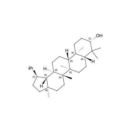 CC(C)[C@@H]1CC[C@]2(C)CC[C@]3(C)[C@H](CC[C@@H]4[C@@]5(C)CC[C@H](O)C(C)(C)[C@@H]5CC[C@]43C)[C@@H]12